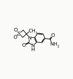 CC1(n2c(=O)[nH]c3cc(C(N)=O)ccc32)CS(=O)(=O)C1